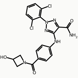 NC(=O)c1nn(-c2c(Cl)cccc2Cl)nc1Nc1ccc(C(=O)N2CC(O)C2)cc1